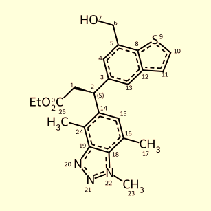 CCOC(=O)C[C@@H](c1cc(CO)c2sccc2c1)c1cc(C)c2c(nnn2C)c1C